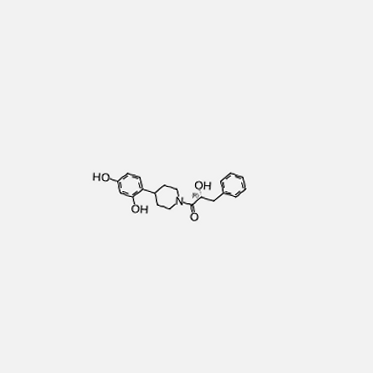 O=C([C@H](O)Cc1ccccc1)N1CCC(c2ccc(O)cc2O)CC1